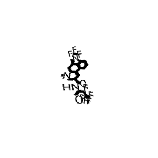 CN1CC(C(=O)NC(CO)C(F)C(F)(F)F)C=C2c3cccc4c3c(cn4C(F)(F)F)CC21